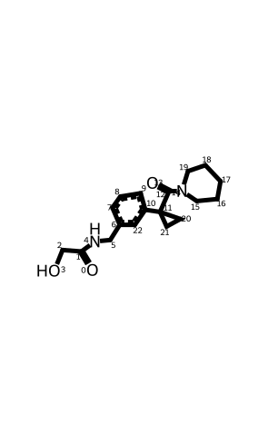 O=C(CO)NCc1cccc(C2(C(=O)N3CCCCC3)CC2)c1